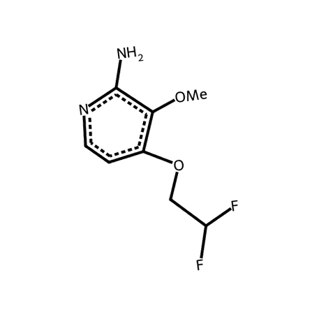 COc1c(OCC(F)F)ccnc1N